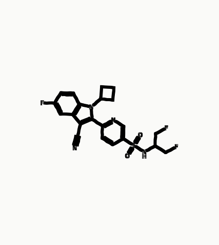 N#Cc1c(-c2ccc(S(=O)(=O)NC(CF)CF)cn2)n(C2CCC2)c2ccc(F)cc12